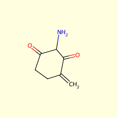 C=C1CCC(=O)C(N)C1=O